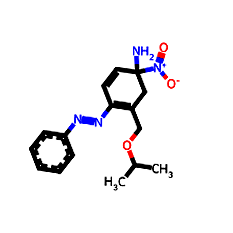 CC(C)OCC1=C(N=Nc2ccccc2)C=CC(N)([N+](=O)[O-])C1